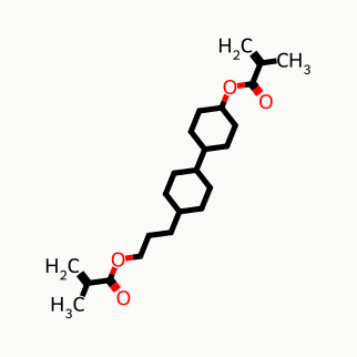 C=C(C)C(=O)OCCCC1CCC(C2CCC(OC(=O)C(=C)C)CC2)CC1